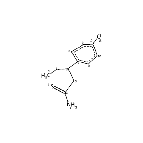 CCC(CC(N)=S)c1ccc(Cl)cc1